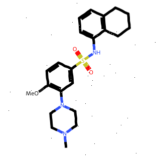 COc1ccc(S(=O)(=O)Nc2cccc3c2CCCC3)cc1N1CCN(C)CC1